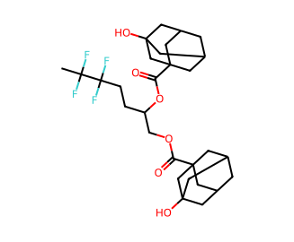 CC(F)(F)C(F)(F)CCC(COC(=O)C12CC3CC(CC(O)(C3)C1)C2)OC(=O)C12CC3CC(CC(O)(C3)C1)C2